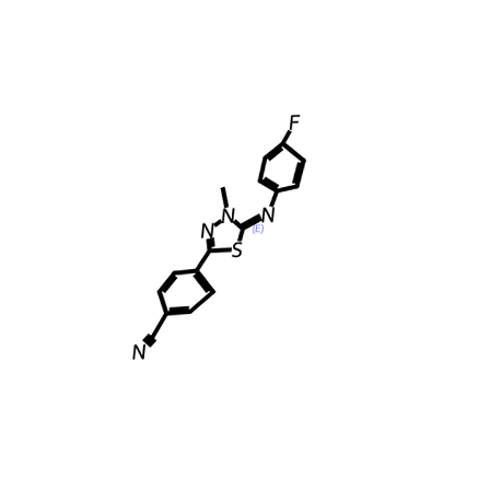 Cn1nc(-c2ccc(C#N)cc2)s/c1=N/c1ccc(F)cc1